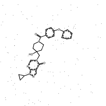 O=C(c1ccc(Oc2ccccc2)cc1)N1CCC(O)(Cn2cnc3c(cnn3C3CC3)c2=O)CC1